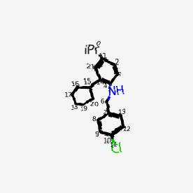 CC(C)c1ccc(NCc2ccc(Cl)cc2)c(C2CCCCC2)c1